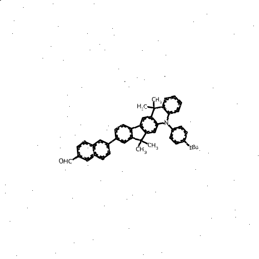 CC(C)(C)c1ccc(N2c3ccccc3C(C)(C)c3cc4c(cc32)C(C)(C)c2cc(-c3ccc5cc(C=O)ccc5c3)ccc2-4)cc1